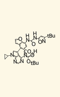 CC(C)(C)OC(=O)N(C(=O)O)c1ncnc2c1c(-c1ccc(NC(=O)Nc3cc(C(C)(C)C)no3)c3occc13)cn2C1CC1